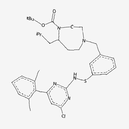 Cc1cccc(C)c1-c1cc(Cl)nc(NSc2cccc(CN3CCC(CC(C)C)N(C(=O)OC(C)(C)C)CC3)c2)n1